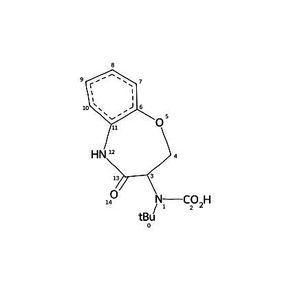 CC(C)(C)N(C(=O)O)C1COc2ccccc2NC1=O